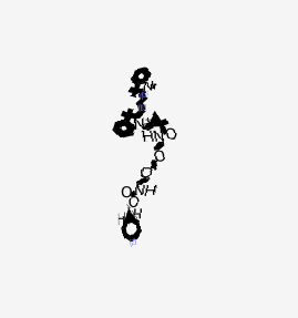 CN1/C(=C/C=C/C2=[N+](CC3CC3(C)C(=O)NCCOCCOCCNC(=O)OC[C@@H]3[C@@H]4CC/C=C\CC[C@@H]43)c3ccccc3C2(C)C)C(C)(C)c2ccccc21